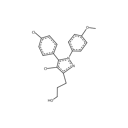 COc1ccc(-n2nc(CCCO)c(Cl)c2-c2ccc(Cl)cc2)cc1